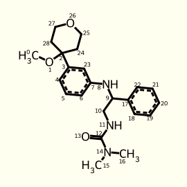 COC1(c2cccc(NC(CNC(=O)N(C)C)c3ccccc3)c2)CCOCC1